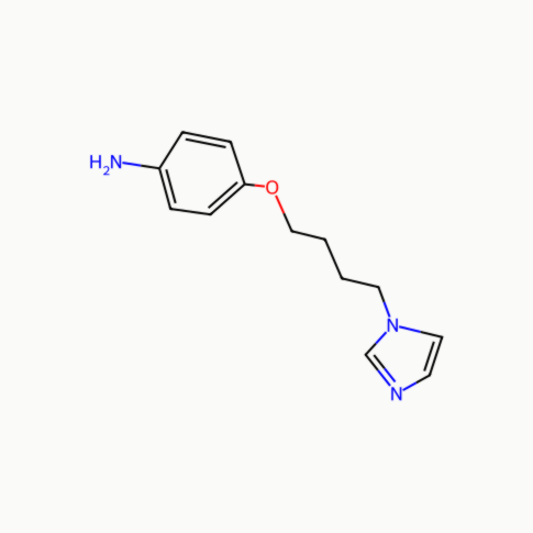 Nc1ccc(OCCCCn2ccnc2)cc1